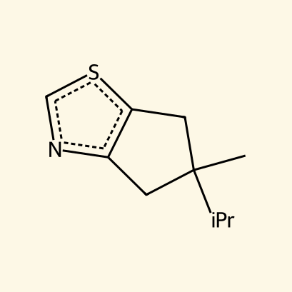 CC(C)C1(C)Cc2ncsc2C1